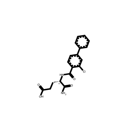 NC(=O)[C@H](CCC(=O)O)NC(=O)c1ccc(-c2ccccc2)cc1Cl